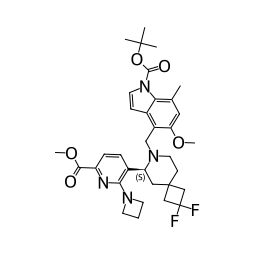 COC(=O)c1ccc([C@@H]2CC3(CCN2Cc2c(OC)cc(C)c4c2ccn4C(=O)OC(C)(C)C)CC(F)(F)C3)c(N2CCC2)n1